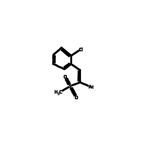 CC(=O)C(=Cc1ccccc1Cl)S(C)(=O)=O